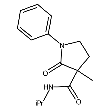 CC(C)NC(=O)C1(C)CCN(c2ccccc2)C1=O